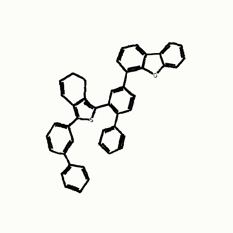 c1cccc(-c2ccc(-c3cccc4c3oc3ccccc34)cc2-c2sc(-c3cccc(-c4ccccc4)c3)c3c2CCC=C3)c#1